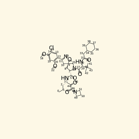 CCC[C@H](NC(=O)[C@@H]1C[C@]2(CC(c3cc(Cl)c(OC)cc3OC)=NO2)CN1C(=O)[C@@H](NC(=O)CC1CCCCC1)C(C)(C)C)C(=O)C(=O)N1CCC1